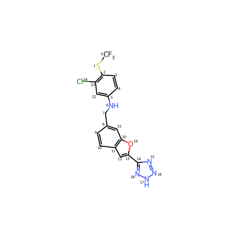 FC(F)(F)Sc1ccc(NCc2ccc3cc(-c4nn[nH]n4)oc3c2)cc1Cl